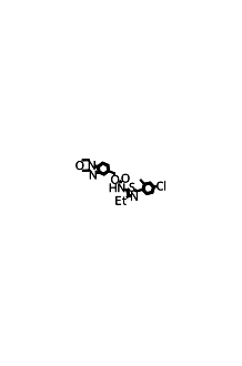 CCc1nc(-c2ccc(Cl)cc2C)sc1NC(=O)OCc1ccc2c(c1)nc1n2CCOC1